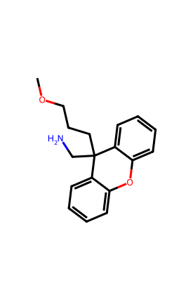 COCCCC1(CN)c2ccccc2Oc2ccccc21